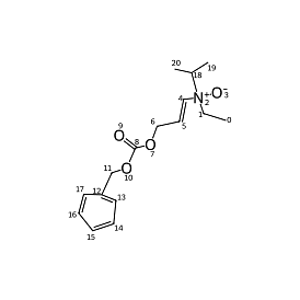 CC[N+]([O-])(/C=C/COC(=O)OCc1ccccc1)C(C)C